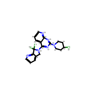 FC1(F)c2ncccc2CN1c1nc(N2CCC(Cl)CC2)nc2ncccc12